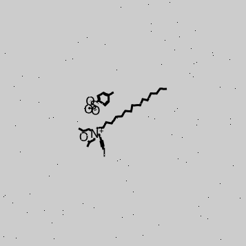 CCCCCCCCCCCCCCCC[N+]1(CC#CI)CC(C)OC(C)C1.Cc1ccc(S(=O)(=O)[O-])cc1